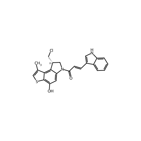 Cc1csc2c(O)cc3c(c12)[C@H](CCl)CN3C(=O)C=Cc1c[nH]c2ccccc12